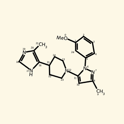 COc1cccc(-n2nc(C)cc2N2CCC(c3[nH]cnc3C)CC2)c1